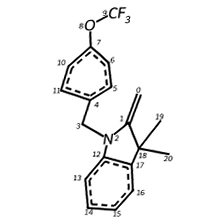 C=C1N(Cc2ccc(OC(F)(F)F)cc2)c2ccccc2C1(C)C